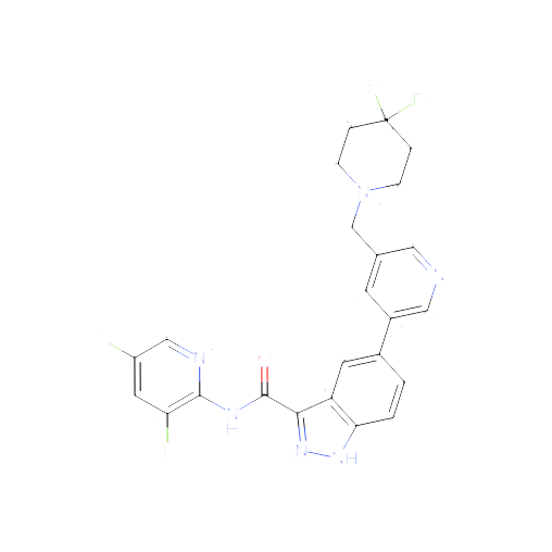 O=C(Nc1ncc(F)cc1F)c1n[nH]c2ccc(-c3cncc(CN4CCC(F)(F)CC4)c3)cc12